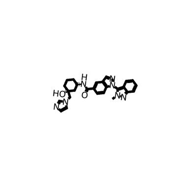 Cn1nc2ccccc2c1-n1ncc2cc(C(=O)N[C@@H]3CCC[C@@](O)(Cn4ccnc4)C3)ccc21